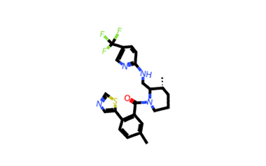 Cc1ccc(-c2cncs2)c(C(=O)N2CCC[C@@H](C)C2CNc2ccc(C(F)(F)F)cn2)c1